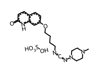 CN1CCN(N=C=NCCCCOc2ccc3ccc(=O)[nH]c3c2)CC1.O=S(=O)(O)O